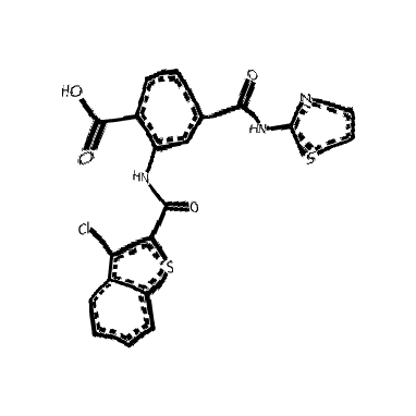 O=C(Nc1nccs1)c1ccc(C(=O)O)c(NC(=O)c2sc3ccccc3c2Cl)c1